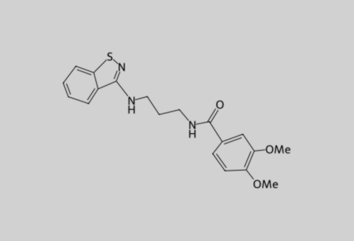 COc1ccc(C(=O)NCCCNc2nsc3ccccc23)cc1OC